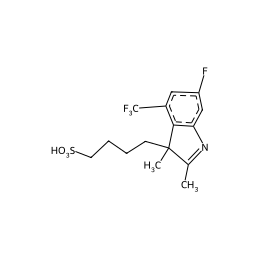 CC1=Nc2cc(F)cc(C(F)(F)F)c2C1(C)CCCCS(=O)(=O)O